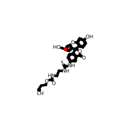 C#CCCOC(=O)NCCNC(=S)Nc1ccc2c(c1)C(=O)OC21c2ccc(O)cc2Oc2cc(O)ccc21